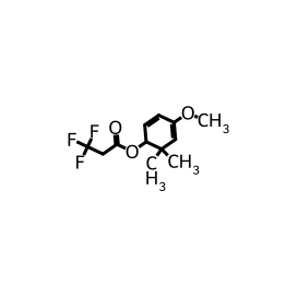 COC1=CC(C)(C)C(OC(=O)CC(F)(F)F)C=C1